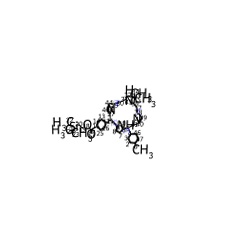 Cc1ccc(/C2=c3\cc/c([nH]3)=C(\c3ccc(C(=O)OCC[Si](C)(C)C)cc3)C3=N/C(=C\C4CC(C)(C)C(/C=C5/C=CC2=N5)N4)C=C3)cc1